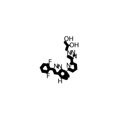 CC1(C)[C@H]2CC[C@]1(c1cccc(-c3cn(C[C@H](O)CO)nn3)n1)c1nnc(-c3c(F)cccc3F)cc12